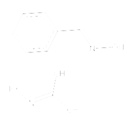 CC(C)=NO.ON=Cc1ccccc1